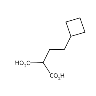 O=C(O)C(CCC1CCC1)C(=O)O